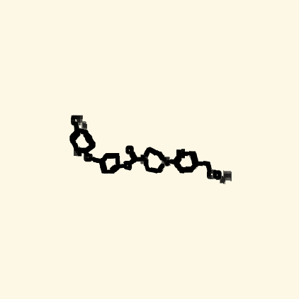 O=C(O)Cc1ccc(N2CCN(C(=O)Oc3ccc(Oc4ccc(C(F)(F)F)cn4)cc3)CC2)nc1